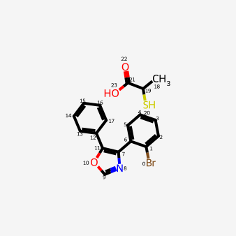 Brc1ccccc1-c1ncoc1-c1ccccc1.CC(S)C(=O)O